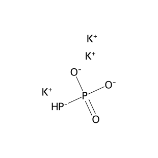 O=P([O-])([O-])[PH-].[K+].[K+].[K+]